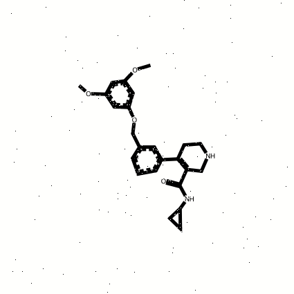 COc1cc(OC)cc(OCc2cccc(C3=C(C(=O)NC4CC4)CNCC3)c2)c1